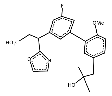 COc1ccc(CC(C)(C)O)cc1-c1cc(F)cc(C(CC(=O)O)c2ncco2)c1